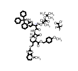 COc1ccc(COC(=O)C2=C(CSc3nc4ccc[n+](C)c4s3)CS[C@H]3C(NC(=O)/C(=N\OC(C)(C)C(=O)OC(C)(C)C)c4csc(NC(c5ccccc5)(c5ccccc5)c5ccccc5)n4)C(=O)N23)cc1.O=C([O-])C(F)(F)F